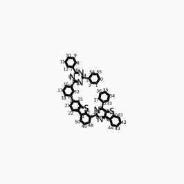 c1ccc(-c2nc(-c3ccccc3)nc(-c3cccc(-c4ccc5c(c4)sc4c(-c6nc(-c7ccccc7)c7sc8ccccc8c7n6)cccc45)c3)n2)cc1